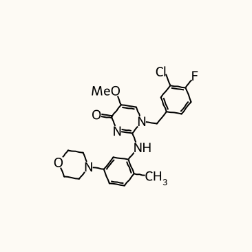 COc1cn(Cc2ccc(F)c(Cl)c2)c(Nc2cc(N3CCOCC3)ccc2C)nc1=O